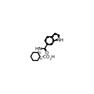 O=C(N[C@H]1CCCC[C@H]1C(=O)O)c1ccc2cc[nH]c2c1